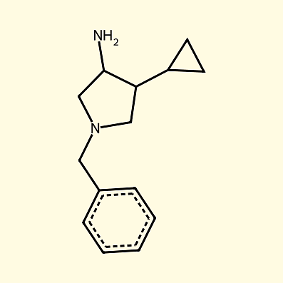 NC1CN(Cc2ccccc2)CC1C1CC1